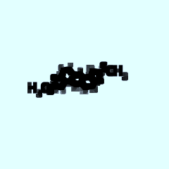 CSc1cc2c(ccc3cc4c(ccc5sc(SC)cc54)cc32)s1